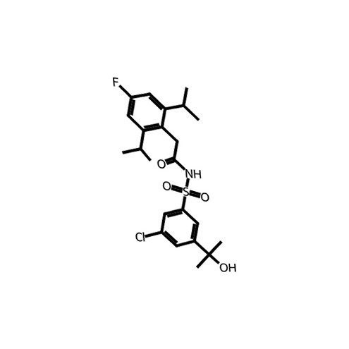 CC(C)c1cc(F)cc(C(C)C)c1CC(=O)NS(=O)(=O)c1cc(Cl)cc(C(C)(C)O)c1